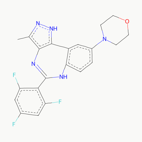 Cc1n[nH]c2c1N=C(c1c(F)cc(F)cc1F)Nc1ccc(N3CCOCC3)cc1-2